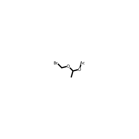 CC(=O)OC(C)OCBr